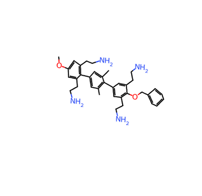 COc1cc(CCN)c(-c2cc(C)c(-c3cc(CCN)c(OCc4ccccc4)c(CCN)c3)c(C)c2)c(CCN)c1